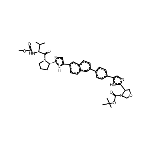 COC(=O)N[C@H](C(=O)N1CCC[C@H]1c1ncc(-c2ccc3cc(-c4ccc(-c5cnc(C6COCN6C(=O)OC(C)(C)C)[nH]5)cc4)ccc3c2)[nH]1)C(C)C